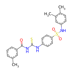 Cc1cccc(C(=O)NC(=S)Nc2ccc(S(=O)(=O)Nc3ccc(C)c(C)c3)cc2)c1